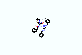 CC1(C)SC2C(NC(=O)Cc3ccccc3)C(=O)N2C1C(=O)O.c1ccc(CNCCNCc2ccccc2)cc1